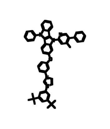 Cc1cc(-n2c3cc(Oc4cccc(-n5cc[n+](-c6cc(C(C)(C)C)cc(C(C)(C)C)c6)c5)c4)ccc3c3c2c2ccccc2n3-c2ccccc2)ncc1-c1ccccc1